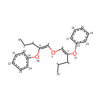 CCCC(=COC=C(CCC)Oc1ccccc1)Oc1ccccc1